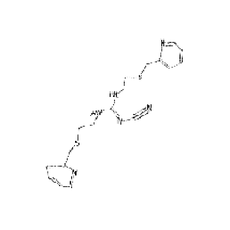 N#CN=C(NCCSCc1ccccn1)NCCSCc1ccccn1